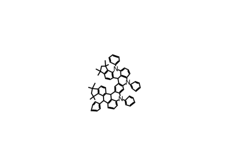 CC1(C)CC(C)(C)c2c1ccc1c2C(c2ccccc2)c2cccc3c2C1c1cc2c(cc1N3c1ccccc1)N(c1ccccc1)c1cccc3c1C2c1ccc2c(c1N3c1ccccc1)C(C)(C)CC2(C)C